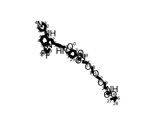 COc1cc(S(=O)(=O)N(C)CCOCCOCCOCCNC(=O)OC(C)(C)C)ccc1NCC#Cc1cc2c(NC3CCN(C)CC3)cccc2n1CC(F)(F)F